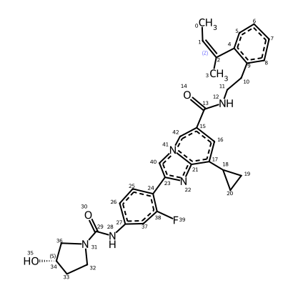 C/C=C(/C)c1ccccc1CCNC(=O)c1cc(C2CC2)c2nc(-c3ccc(NC(=O)N4CC[C@H](O)C4)cc3F)cn2c1